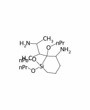 CCCOC1(C(C)C(C)N)C(N)CCC[Si]1(OCCC)OCCC